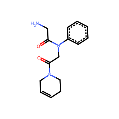 NCC(=O)N(CC(=O)N1CC=CCC1)c1ccccc1